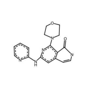 O=C1[N]C=Cc2cc(Nc3ccccn3)nc(N3CCOCC3)c21